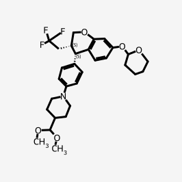 COC(OC)C1CCN(c2ccc([C@H]3c4ccc(OC5CCCCO5)cc4OC[C@H]3CC(F)(F)F)cc2)CC1